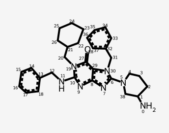 NC1CCCN(c2nc3nc(NCc4ccccc4)n(CC4CCCCC4)c(=O)c3n2Cc2ccccc2)C1